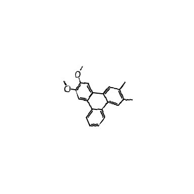 COc1cc2c3ccccc3c3cc(C)c(C)cc3c2cc1OC